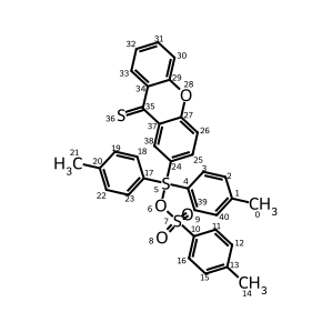 Cc1ccc(S(OS(=O)(=O)c2ccc(C)cc2)(c2ccc(C)cc2)c2ccc3oc4ccccc4c(=S)c3c2)cc1